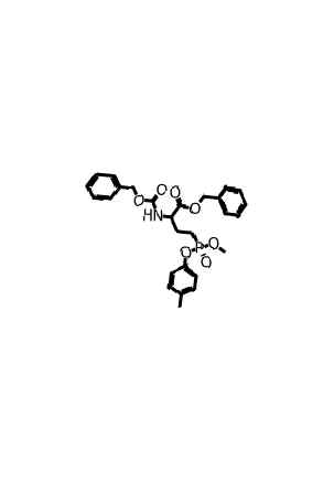 COP(=O)(CCC(NC(=O)OCc1ccccc1)C(=O)OCc1ccccc1)Oc1ccc(C)cc1